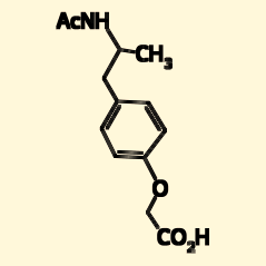 CC(=O)NC(C)Cc1ccc(OCC(=O)O)cc1